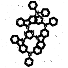 c1ccc(N(c2ccccc2)c2ccc3c(c2)c2ccccc2n3-c2nc(-n3c4ccccc4c4ccc(N(c5ccccc5)c5ccccc5)cc43)cc(-n3c4ccccc4c4ccc(N(c5ccccc5)c5ccccc5)cc43)n2)cc1